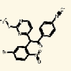 [C-]#[N+]c1ccc(C(=O)C(c2ccnc(SC)n2)c2cc(Br)ccc2[N+](=O)[O-])cc1